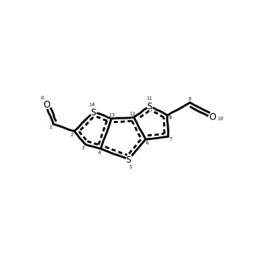 O=Cc1cc2sc3cc(C=O)sc3c2s1